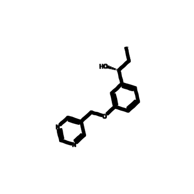 [CH2]C[C@@H](O)c1cccc(OCc2cncnc2)c1